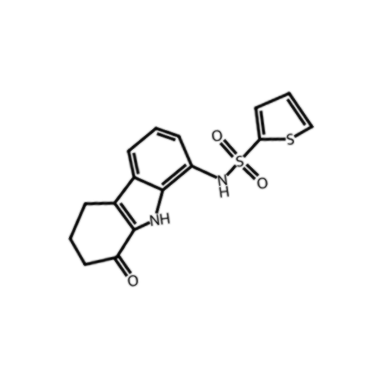 O=C1CCCc2c1[nH]c1c(NS(=O)(=O)c3cccs3)cccc21